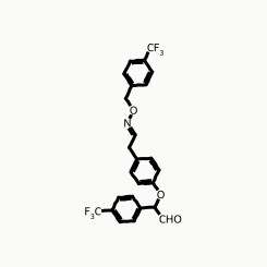 O=CC(Oc1ccc(CC=NOCc2ccc(C(F)(F)F)cc2)cc1)c1ccc(C(F)(F)F)cc1